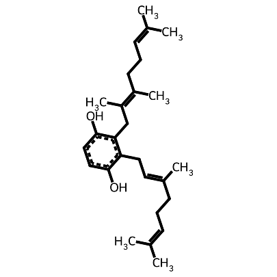 CC(C)=CCC/C(C)=C/Cc1c(O)ccc(O)c1C/C(C)=C(\C)CCC=C(C)C